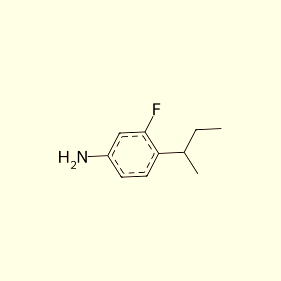 CCC(C)c1ccc(N)cc1F